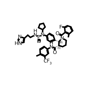 Cc1ccc(NC(=O)[C@H]2CCCN(C(=O)c3c(C)cccc3F)[C@H]2c2ccc(N(C3CCCC3)[PH](=O)NCCc3c[nH]cn3)cc2)cc1C(F)(F)F